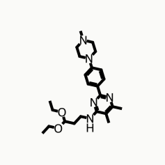 CCOC(CCNc1nc(-c2ccc(N3CCN(C)CC3)cc2)nc(C)c1C)OCC